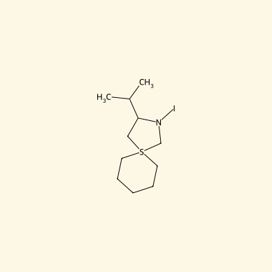 CC(C)C1CS2(CCCCC2)CN1I